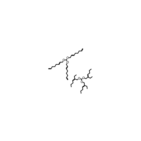 C=CCCCC=CCOC(OCC=CCCCC=C)OCC=CCCCC=C.CCCC=C(CC)COC(OCC(=CCCC)CC)OCC(=CCCC)CC